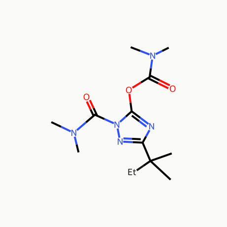 CCC(C)(C)c1nc(OC(=O)N(C)C)n(C(=O)N(C)C)n1